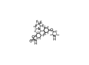 C[C@@H]1Cc2c(ccc3[nH]c(=O)oc23)[C@@H](c2c(F)cc(O[C@@H]3CCNC3)cc2F)N1CC(F)(F)F